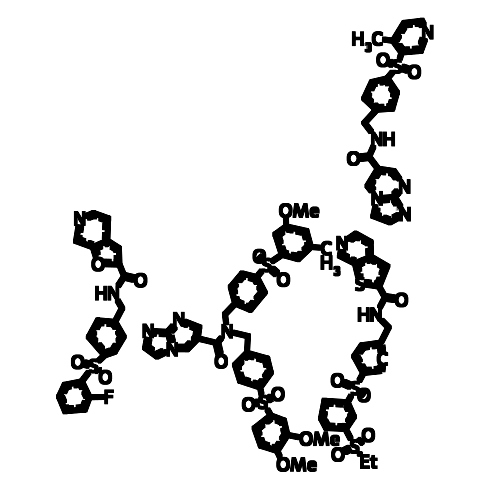 CCS(=O)(=O)c1cccc(S(=O)(=O)c2ccc(CNC(=O)c3cc4ccncc4s3)cc2)c1.COc1cc(C)cc(S(=O)(=O)c2ccc(CN(Cc3ccc(S(=O)(=O)c4ccc(OC)c(OC)c4)cc3)C(=O)c3cnc4nccn4c3)cc2)c1.Cc1ccncc1S(=O)(=O)c1ccc(CNC(=O)c2cnc3nccn3c2)cc1.O=C(NCc1ccc(S(=O)(=O)c2ccccc2F)cc1)c1cc2ccncc2o1